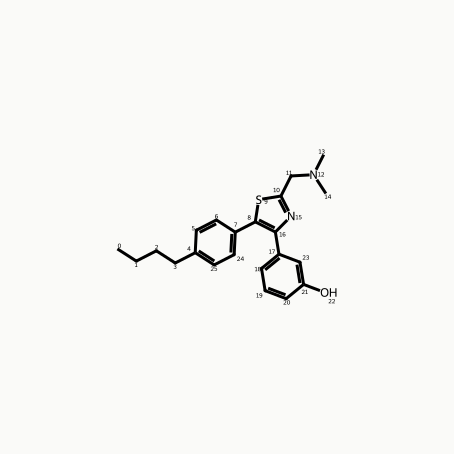 CCCCc1ccc(-c2sc(CN(C)C)nc2-c2cccc(O)c2)cc1